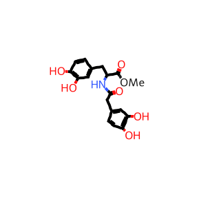 COC(=O)C(Cc1ccc(O)c(O)c1)NC(=O)Cc1ccc(O)c(O)c1